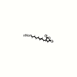 CCCCCCCCCCCCCC=CCC1CC(=O)OC1=O